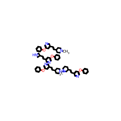 C(=CC1CCNCC1)c1cncc(Oc2ccccc2)c1.C(=CC1CNC1)c1cncc(Oc2ccccc2)c1.CN1CCC(C=Cc2cncc(Oc3ccccc3)c2)CC1.CN1CCCC(C=Cc2cncc(Oc3ccccc3)c2)C1